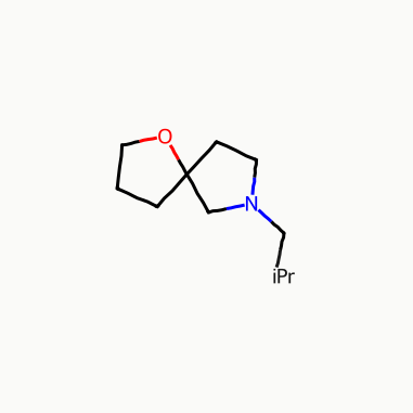 CC(C)CN1CCC2(CCCO2)C1